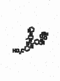 CC1CN(c2ccccn2)CCN1c1nc2cc(C(=O)O)ccc2nc1-c1ccc2c(cnn2C(=O)OC(C)(C)C)c1